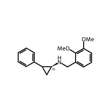 COc1cccc(CN[C@H]2CC2c2ccccc2)c1OC